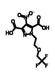 O=C(O)c1nn(CCOCC(F)(F)F)c(C(=O)O)c1[N+](=O)[O-]